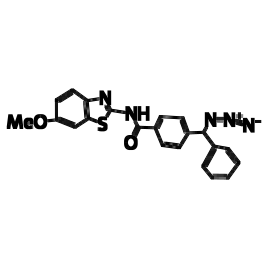 COc1ccc2nc(NC(=O)c3ccc(C(N=[N+]=[N-])c4ccccc4)cc3)sc2c1